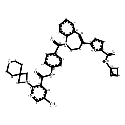 Cc1cnc(N2CC3(CCOCC3)C2)c(C(=O)Nc2ccc(C(=O)N3CCC(c4ccc(C(=O)NC56CC(C5)C6)s4)=Cc4ccccc43)cc2)c1